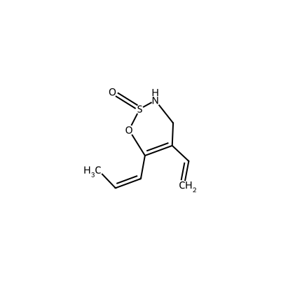 C=CC1=C(/C=C\C)OS(=O)NC1